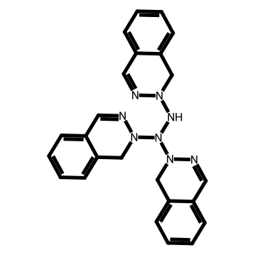 C1=NN(NN(N2Cc3ccccc3C=N2)N2Cc3ccccc3C=N2)Cc2ccccc21